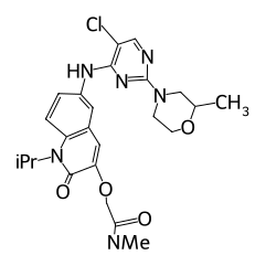 CNC(=O)COc1cc2cc(Nc3nc(N4CCOC(C)C4)ncc3Cl)ccc2n(C(C)C)c1=O